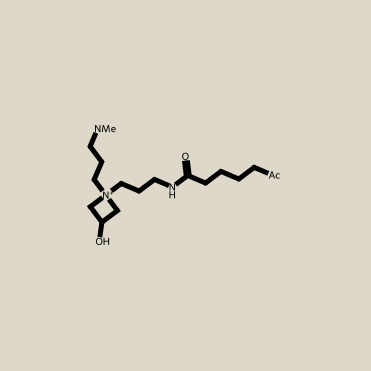 CNCCC[N+]1(CCCNC(=O)CCCCC(C)=O)CC(O)C1